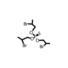 CC(Br)COP(=S)(OCC(C)Br)OCC(C)Br